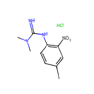 Cc1ccc(NC(=N)N(C)C)c([N+](=O)[O-])c1.Cl